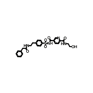 O=C(Cc1ccccc1)NCCc1ccc(S(=O)(=O)NC(=O)c2ccc(C(=O)NCCO)nc2)cc1